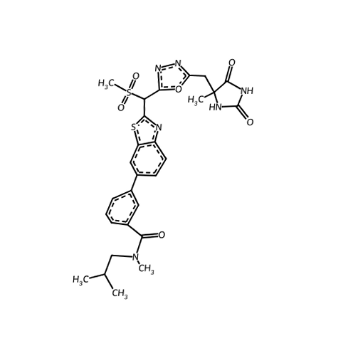 CC(C)CN(C)C(=O)c1cccc(-c2ccc3nc(C(c4nnc(CC5(C)NC(=O)NC5=O)o4)S(C)(=O)=O)sc3c2)c1